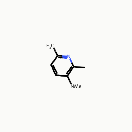 CNc1ccc(C(F)(F)F)nc1C